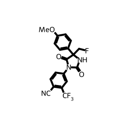 COc1ccc(C2(CF)NC(=O)N(c3ccc(C#N)c(C(F)(F)F)c3)C2=O)cc1